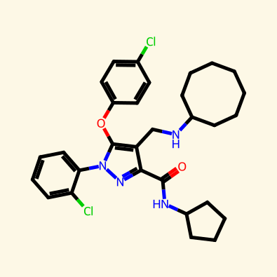 O=C(NC1CCCC1)c1nn(-c2ccccc2Cl)c(Oc2ccc(Cl)cc2)c1CNC1CCCCCCC1